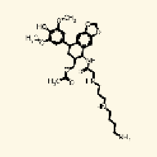 COc1cc(C2CC(COC(C)=O)[C@H](NC(=O)CNCCCNCCCCN)c3cc4c(cc32)OCO4)cc(OC)c1O